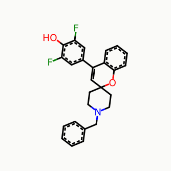 Oc1c(F)cc(C2=CC3(CCN(Cc4ccccc4)CC3)Oc3ccccc32)cc1F